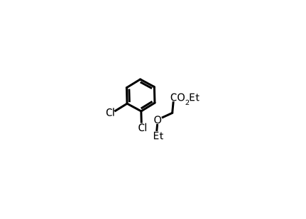 CCOCC(=O)OCC.Clc1ccccc1Cl